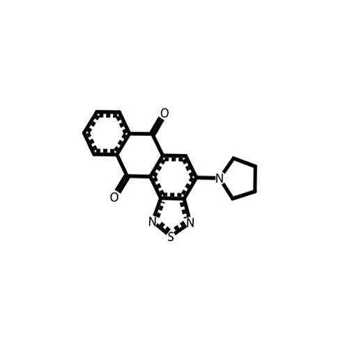 O=C1c2ccccc2C(=O)c2c1cc(N1CCCC1)c1nsnc21